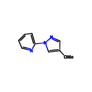 COc1cnn(-c2ccccn2)c1